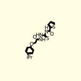 CC(C)c1ccc(OCC(=O)NNC(=S)NC(=O)c2cccs2)cc1